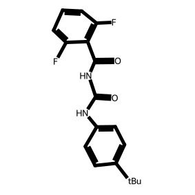 CC(C)(C)c1ccc(NC(=O)NC(=O)c2c(F)cccc2F)cc1